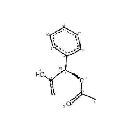 C=C(O)[C@H](OC(C)=O)c1ccccc1